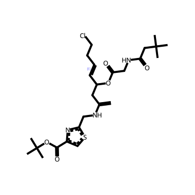 C=C(CC(/C=C/CCCl)OC(=O)CNC(=O)CC(C)(C)C)NCc1nc(C(=O)OC(C)(C)C)cs1